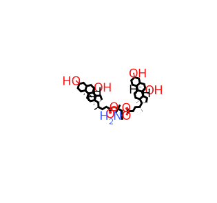 C[C@H](CCC(=O)OC(C)(C)CC(C)(N)OC(=O)CC[C@@H](C)[C@H]1CCC2[C@@H]3[C@@H](O)CC4C[C@H](O)CC[C@]4(C)[C@H]3CC[C@@]21C)[C@H]1CCC2[C@@H]3[C@@H](O)CC4C[C@H](O)CC[C@]4(C)[C@H]3CC[C@@]21C